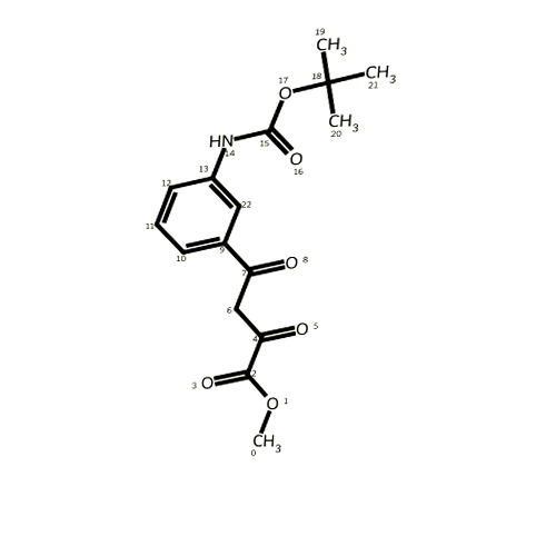 COC(=O)C(=O)CC(=O)c1cccc(NC(=O)OC(C)(C)C)c1